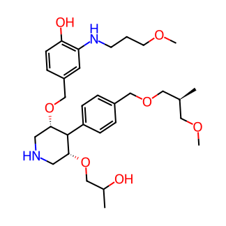 COCCCNc1cc(CO[C@H]2CNC[C@@H](OCC(C)O)C2c2ccc(COC[C@@H](C)COC)cc2)ccc1O